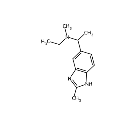 CCN(C)C(C)c1ccc2[nH]c(C)nc2c1